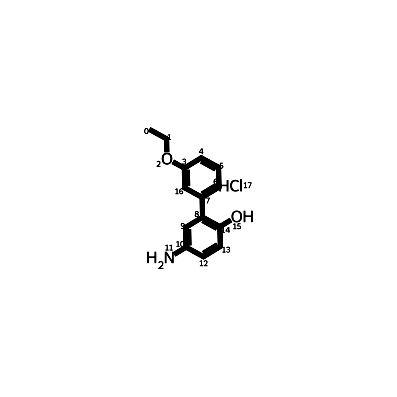 CCOc1cccc(-c2cc(N)ccc2O)c1.Cl